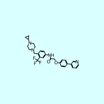 O=C(COc1ccc(-c2cccnc2)cc1)Nc1ccc(CN2CCN(C3CC3)CC2)c(C(F)(F)F)c1